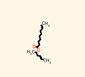 CC=CCCCCCCC(=O)OC(C)C/C=C/C